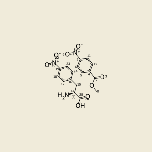 COC(=O)c1ccc([N+](=O)[O-])cc1.N[C@@H](Cc1ccc([N+](=O)[O-])cc1)C(=O)O